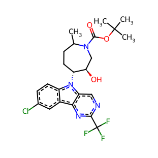 CC1CC[C@@H](n2c3ccc(Cl)cc3c3nc(C(F)(F)F)ncc32)[C@H](O)CN1C(=O)OC(C)(C)C